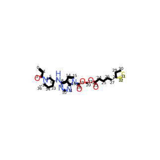 C=CC(=O)N1C[C@H](Nc2ncnc3c2ccn3C(=O)OCOC(=O)CCCC[C@@H]2CCSS2)CC[C@@H]1C